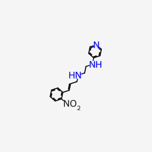 O=[N+]([O-])c1ccccc1C=CCNCCNc1ccncc1